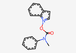 CN(C(=O)On1ccc2ccccc21)c1ccccc1